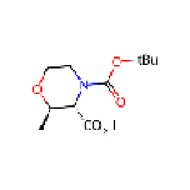 C[C@H]1OCCN(C(=O)OC(C)(C)C)[C@@H]1C(=O)O